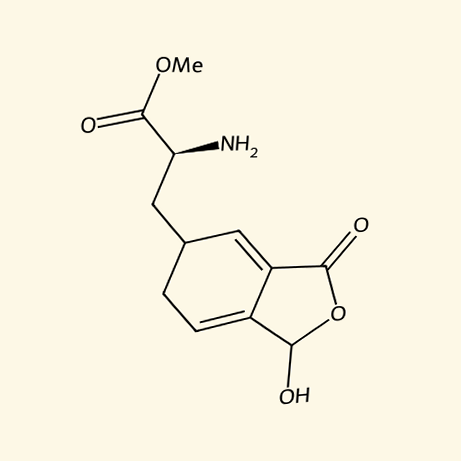 COC(=O)[C@@H](N)CC1C=C2C(=O)OC(O)C2=CC1